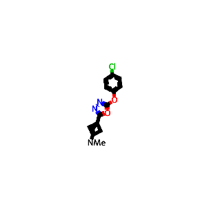 CNC12CC(c3nnc(Oc4ccc(Cl)cc4)o3)(C1)C2